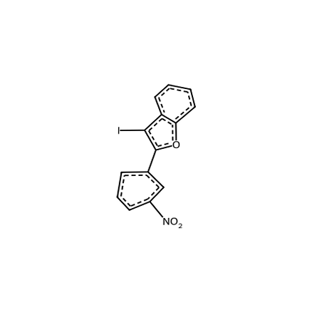 O=[N+]([O-])c1cccc(-c2oc3ccccc3c2I)c1